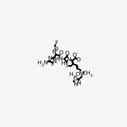 C[N+](C)(C/C=C/C1=C(C(=O)[O-])N2C(=O)[C@@H](NC(=O)/C(=N\OCF)c3nsc(N)n3)[C@@H]2SC1)Cc1nnco1